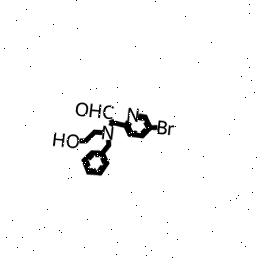 O=CC(c1ccc(Br)cn1)N(CCO)Cc1ccccc1